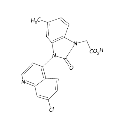 Cc1ccc2c(c1)n(-c1ccnc3cc(Cl)ccc13)c(=O)n2CC(=O)O